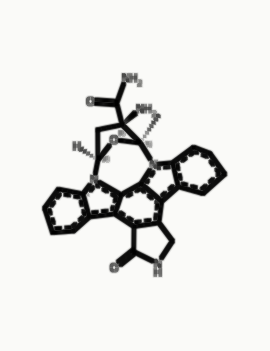 C[C@]12O[C@H](C[C@]1(N)C(N)=O)n1c3ccccc3c3c4c(c5c6ccccc6n2c5c31)CNC4=O